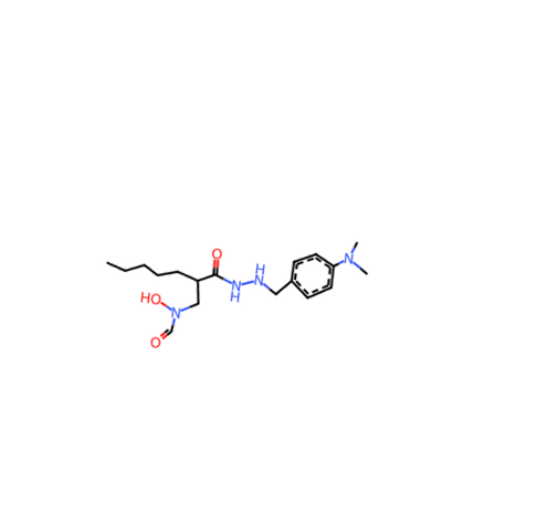 CCCCCC(CN(O)C=O)C(=O)NNCc1ccc(N(C)C)cc1